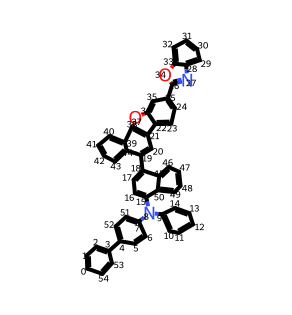 c1ccc(-c2ccc(N(c3ccccc3)c3ccc(-c4cc5c6ccc(-c7nc8ccccc8o7)cc6oc5c5ccccc45)c4ccccc34)cc2)cc1